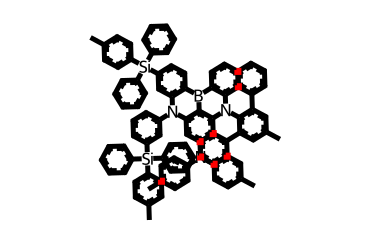 Cc1ccc(N(c2ccc(C)cc2)c2cc3c4c(c2)N(c2c(-c5ccccc5)cc(C)cc2-c2ccccc2)c2ccccc2B4c2ccc([Si](c4ccccc4)(c4ccccc4)c4ccc(C)cc4)cc2N3c2cccc([Si](c3ccccc3)(c3ccccc3)c3ccc(C)cc3)c2)cc1